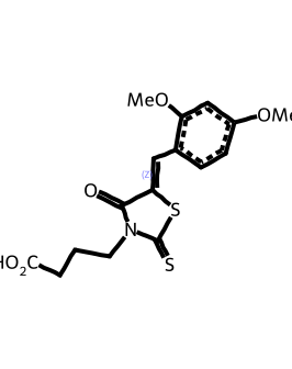 COc1ccc(/C=C2\SC(=S)N(CCCC(=O)O)C2=O)c(OC)c1